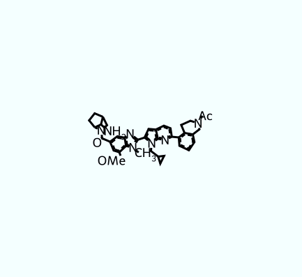 COc1cc(C(=O)N2CC3CCC2C3N)cc2nc(-c3cc4ccc(-c5cccc6c5CCN(C(C)=O)C6)nc4n3CC3CC3)n(C)c12